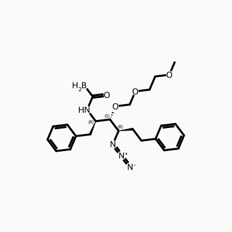 BC(=O)N[C@H](Cc1ccccc1)[C@H](OCOCCOC)[C@@H](CCc1ccccc1)N=[N+]=[N-]